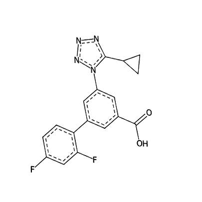 O=C(O)c1cc(-c2ccc(F)cc2F)cc(-n2nnnc2C2CC2)c1